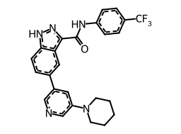 O=C(Nc1ccc(C(F)(F)F)cc1)c1n[nH]c2ccc(-c3cncc(N4CCCCC4)c3)cc12